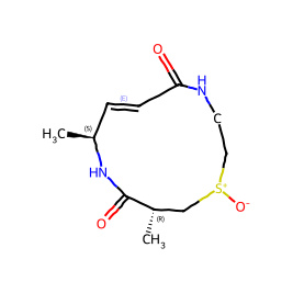 C[C@H]1/C=C/C(=O)NCC[S+]([O-])C[C@H](C)C(=O)N1